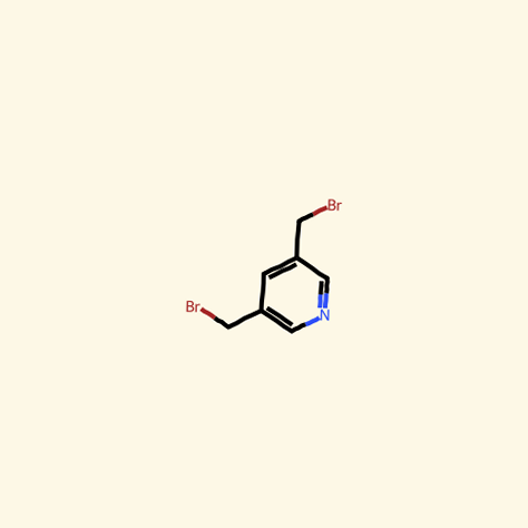 BrCc1cncc(CBr)c1